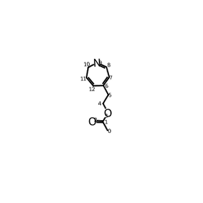 CC(=O)OCCC1=CC=NCC=C1